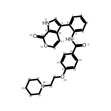 O=C(Nc1ccccc1-c1c[nH]c2c(=O)occc12)c1ccc(OCCN2CCCCC2)cc1